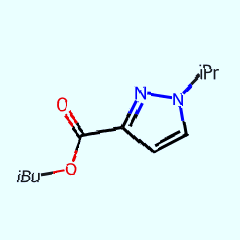 CCC(C)OC(=O)c1ccn(C(C)C)n1